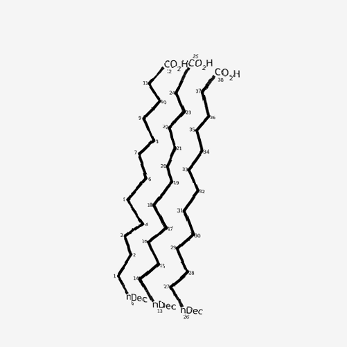 CCCCCCCCCCCCCCCCCCCCCC(=O)O.CCCCCCCCCCCCCCCCCCCCCC(=O)O.CCCCCCCCCCCCCCCCCCCCCC(=O)O